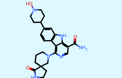 NC(=O)c1cnc(N2CCCC3(CCNC3=O)C2)c2c1[nH]c1cc(C3CCN(O)CC3)ccc12